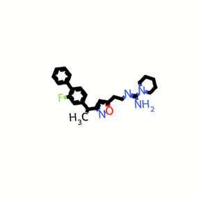 CC(c1ccc(-c2ccccc2)c(F)c1)c1cc(CC/N=C(\N)N2CCCCC2)on1